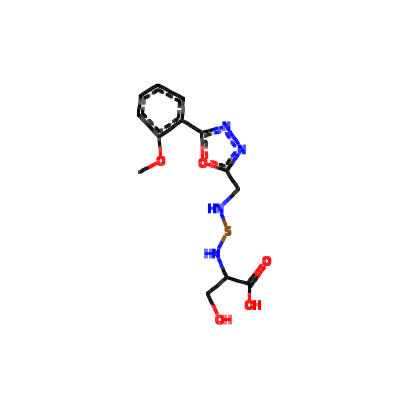 COc1ccccc1-c1nnc(CNSNC(CO)C(=O)O)o1